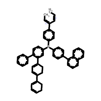 C/C=C\C(=C/C)c1ccc(N(c2ccc(-c3cccc4ccccc34)cc2)c2ccc(-c3ccccc3)c(C3=CC=C(C4=CC=CCC4)CC3)c2)cc1